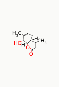 CC1=CC[C@H]2[C@@H](OC(=O)C[C@@H]2C)[C@@H]1O